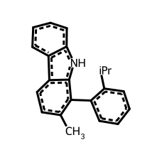 Cc1ccc2c([nH]c3ccccc32)c1-c1ccccc1C(C)C